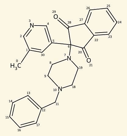 Cc1cncc(C2(N3CCN(Cc4ccccc4)CC3)C(=O)c3ccccc3C2=O)c1